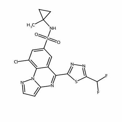 CC1(NS(=O)(=O)c2cc(Cl)c3c(c2)c(-c2nnc(C(F)F)s2)nc2ccnn23)CC1